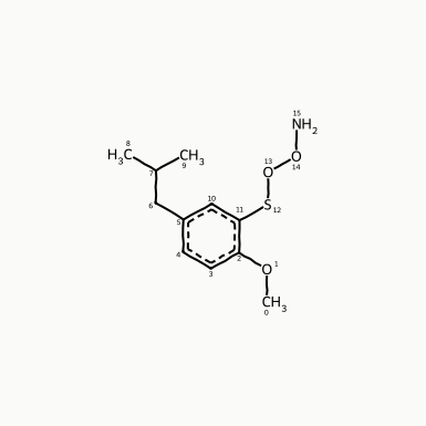 COc1ccc(CC(C)C)cc1SOON